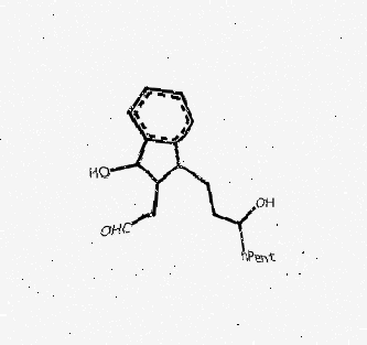 CCCCCC(O)CCC1c2ccccc2C(O)C1CC=O